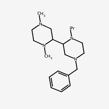 CC(C)N1CCN(Cc2ccccc2)CC1C1CN(C)CCN1C